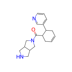 O=C(C1CC=CCC1c1cccnc1)N1CC2CNCC2C1